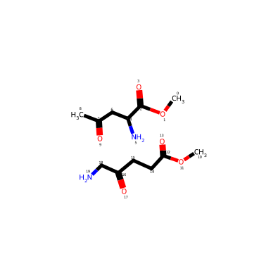 COC(=O)C(N)CC(C)=O.COC(=O)CCC(=O)CN